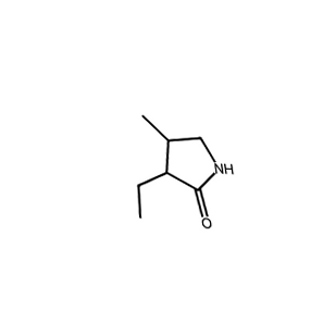 CCC1C(=O)NCC1C